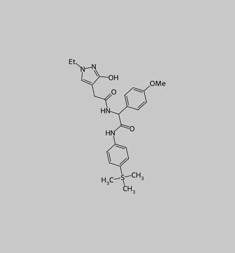 CCn1cc(CC(=O)NC(C(=O)Nc2ccc(S(C)(C)C)cc2)c2ccc(OC)cc2)c(O)n1